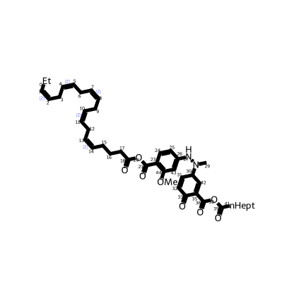 CC/C=C\C/C=C\C/C=C\C/C=C\C/C=C\CCCC(=O)OC(=O)c1ccc(NN(C)C2C=CC(=O)C(C(=O)OC(=O)CCCCCCC)=C2)cc1OC